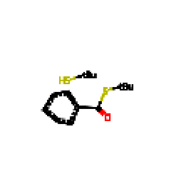 CC(C)(C)S.CC(C)(C)SC(=O)c1ccccc1